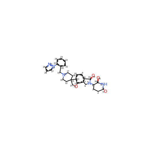 O=C1CCC(N2Cc3c(ccc4c3OCC43CCN(Cc4ccccc4-n4cccn4)CC3)C2=O)C(=O)N1